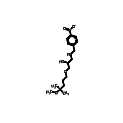 CO[Si](C)(C)CCCOCC(O)CNCc1ccc([N+](=O)[O-])cc1